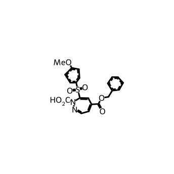 COc1ccc(S(=O)(=O)C2=CC(C(=O)OCc3ccccc3)=CC=NN2C(=O)O)cc1